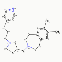 Cc1cc2c(cc1C)CCN(CC1CCN(CCCc3ccncc3)C1)CC2